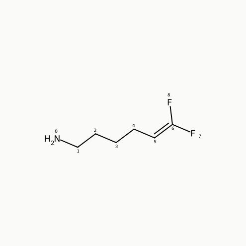 NCCCCC=C(F)F